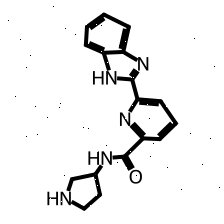 O=C(NC1CCNC1)c1cccc(-c2nc3ccccc3[nH]2)n1